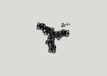 O=P([O][Mo](=[O])(=[O])[O][Mo](=[O])(=[O])[O][Mo](=[O])(=[O])[O][Mo](=[O])(=[O])[O-])([O][Mo](=[O])(=[O])[O][Mo](=[O])(=[O])[O][Mo](=[O])(=[O])[O][Mo](=[O])(=[O])[O-])[O][Mo](=[O])(=[O])[O][Mo](=[O])(=[O])[O][Mo](=[O])(=[O])[O][Mo](=[O])(=[O])[O-].[Zr+4]